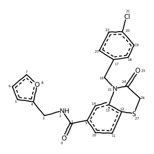 O=C(NCc1ccco1)c1ccc2c(c1)N(Cc1ccc(Cl)cc1)C(=O)CS2